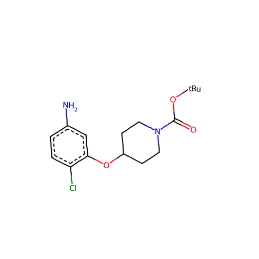 CC(C)(C)OC(=O)N1CCC(Oc2cc(N)ccc2Cl)CC1